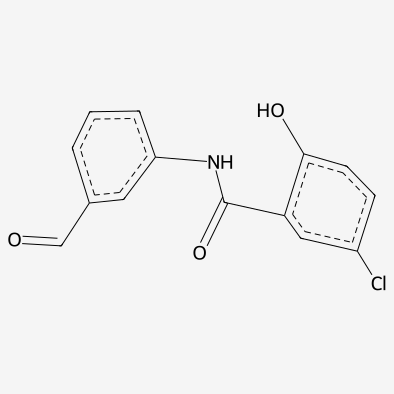 O=Cc1cccc(NC(=O)c2cc(Cl)ccc2O)c1